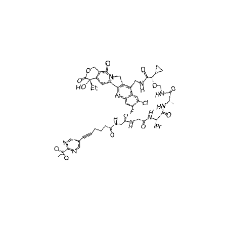 CC[C@@]1(O)C(=O)OCc2c1cc1n(c2=O)Cc2c-1nc1cc(F)c(Cl)cc1c2CNC(=O)[C@@H](OCNC(=O)[C@H](C)NC(=O)[C@@H](NC(=O)CNC(=O)CNC(=O)CCCC#Cc1cnc(S(C)(=O)=O)nc1)C(C)C)C1CC1